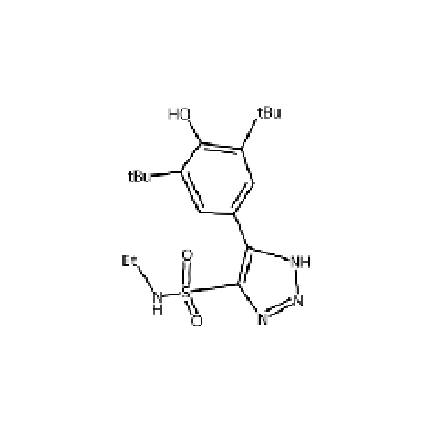 CCNS(=O)(=O)c1nn[nH]c1-c1cc(C(C)(C)C)c(O)c(C(C)(C)C)c1